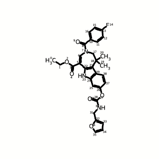 CCOC(=O)C1=CN(C(=O)c2ccc(F)cc2)CC(C)(C)c2c1[nH]c1cc(OC(=O)NCc3ccco3)ccc21